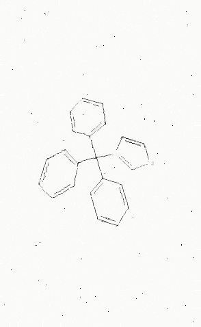 c1ccc(C(c2ccccc2)(c2ccccc2)[n+]2cc[nH]c2)cc1